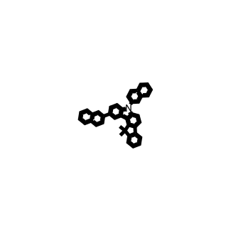 CC1(C)c2ccccc2-c2ccc3c(c21)c1cc(-c2ccc4ccccc4c2)ccc1n3-c1ccc2ccccc2c1